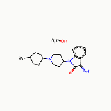 CC(C)C1CCC(N2CCC(N3C(=O)C(=N)c4ccccc43)CC2)CC1.CO